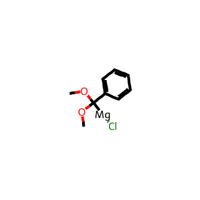 CO[C](OC)([Mg][Cl])c1ccccc1